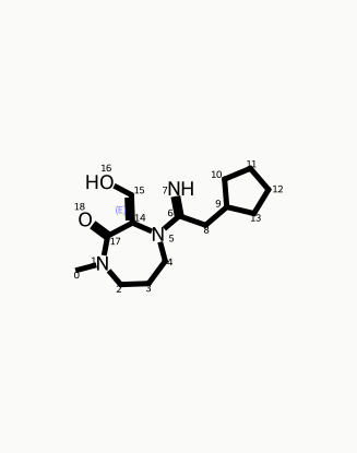 CN1CCCN(C(=N)CC2CCCC2)/C(=C/O)C1=O